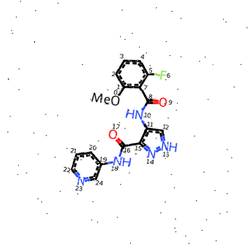 COc1cccc(F)c1C(=O)Nc1c[nH]nc1C(=O)Nc1cccnc1